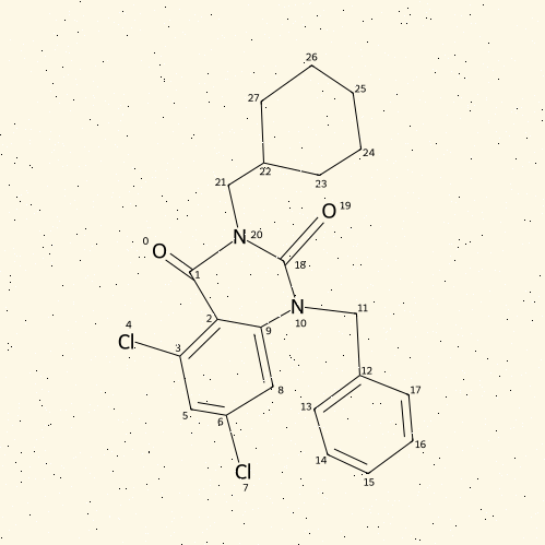 O=c1c2c(Cl)cc(Cl)cc2n(Cc2ccccc2)c(=O)n1CC1CCCCC1